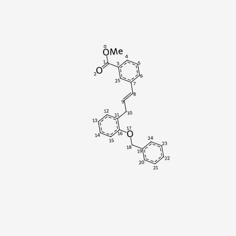 COC(=O)c1cccc(C=CCc2ccccc2OCc2ccccc2)c1